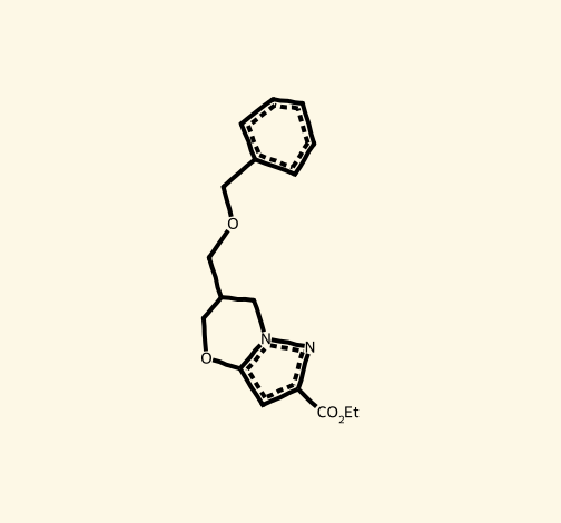 CCOC(=O)c1cc2n(n1)CC(COCc1ccccc1)CO2